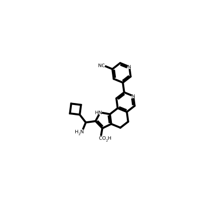 N#Cc1cncc(-c2cc3c(cn2)CCc2c-3[nH]c(C(N)C3CCC3)c2C(=O)O)c1